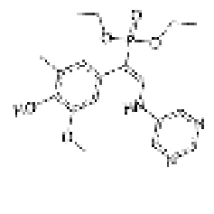 CCOP(=O)(OCC)/C(=C/Nc1cncnc1)c1cc(C)c(O)c(OC)c1